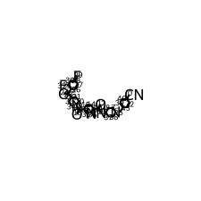 N#Cc1ccc(CN2CCC(NC(=O)c3ccc(C(=O)N4CCC(C(=O)c5ccc(F)cc5F)CC4)cn3)CC2)cc1